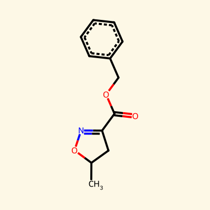 CC1CC(C(=O)OCc2ccccc2)=NO1